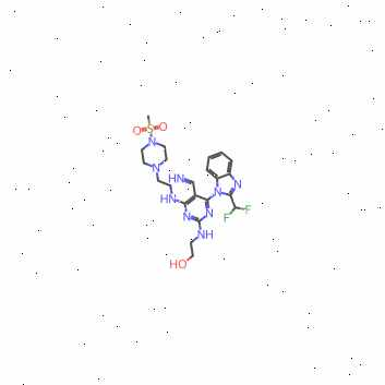 CS(=O)(=O)N1CCN(CCNc2nc(NCCO)nc(-n3c(C(F)F)nc4ccccc43)c2C=N)CC1